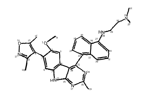 COc1cc2c(cc1-c1c(C)noc1C)[nH]c1nc(C)nc(-c3cccc4c(NCCN(C)C)cccc34)c12